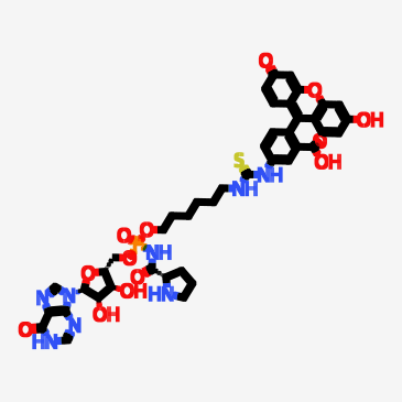 O=C(O)c1cc(NC(=S)NCCCCCCOP(=O)(NC(=O)[C@@H]2CCCN2)OC[C@H]2O[C@@H](n3cnc4c(=O)[nH]cnc43)[C@H](O)[C@@H]2O)ccc1-c1c2ccc(=O)cc-2oc2cc(O)ccc12